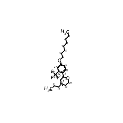 CCCCCCCCOc1ccc(C2CN(CCC)CCO2)c(C(F)(F)F)c1